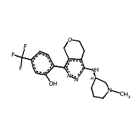 CN1CCC[C@@H](Nc2nnc(-c3ccc(C(F)(F)F)cc3O)c3c2CCOC3)C1